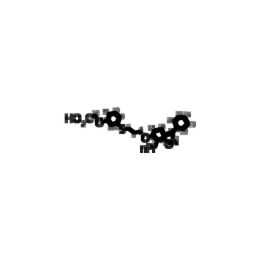 CCCc1c(OCCCSc2cccc(OCC(=O)O)c2)ccc2c(-c3ccccc3)noc12